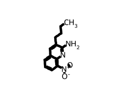 CCCCc1cc2cccc([N+](=O)[O-])c2nc1N